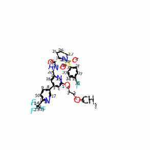 COCCOc1cc(-c2ccc(C(F)(F)F)nc2)cc(CNC(=O)[C@@H]2CCCN2S(=O)(=O)c2ccc(F)cc2)n1